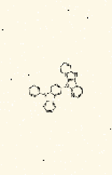 c1ccc(-n2c3ccccc3c3cc(-n4c5ncccc5c5nc6ccccn6c54)ccc32)cc1